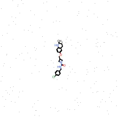 C=C1CCc2cc(OCC3CN(C(=O)NCc4ccc(Cl)cc4)C3)ccc2N1